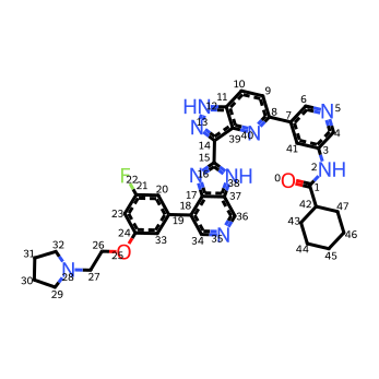 O=C(Nc1cncc(-c2ccc3[nH]nc(-c4nc5c(-c6cc(F)cc(OCCN7CCCC7)c6)cncc5[nH]4)c3n2)c1)C1CCCCC1